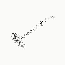 CCCCCNC(=O)CCCCCCCCCCCCCO[C@H]1C[C@]2(C)[C@@H](O)CC[C@H]2[C@@H]2CC[C@H]3CC(=O)CC[C@]3(C)[C@H]21